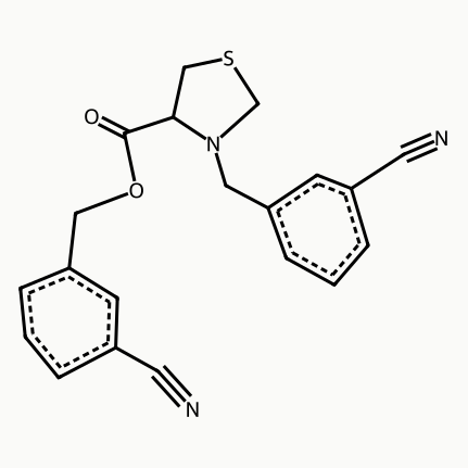 N#Cc1cccc(COC(=O)C2CSCN2Cc2cccc(C#N)c2)c1